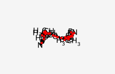 CC(C)(C)C(NC(=O)COCCCOCCCCCOc1ccc(N2C(=S)N(c3ccc(C#N)c(C(F)(F)F)c3)C(=O)C2(C)C)cc1)C(=O)N1CCC[C@H]1C(=O)NCc1ccc(C#N)cc1